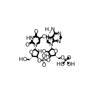 Cc1cn([C@@H]2CC(OP(=O)(O)OC3C(O)[C@H](n4cnc5c(N)ncnc54)O[C@@H]3COP(=O)(O)O)[C@H](CO)O2)c(=O)[nH]c1=O